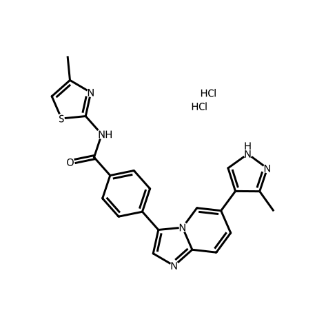 Cc1csc(NC(=O)c2ccc(-c3cnc4ccc(-c5c[nH]nc5C)cn34)cc2)n1.Cl.Cl